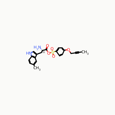 CC#CCOc1ccc(S(=O)(=O)OC(=O)[C@@H](N)Cc2c[nH]c3ccc(C)cc23)cc1